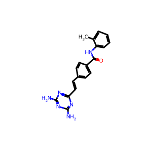 Cc1ccccc1NC(=O)c1ccc(/C=C/c2nc(N)nc(N)n2)cc1